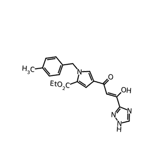 CCOC(=O)c1cc(C(=O)C=C(O)c2nc[nH]n2)cn1Cc1ccc(C)cc1